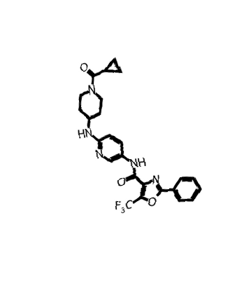 O=C(Nc1ccc(NC2CCN(C(=O)C3CC3)CC2)nc1)c1nc(-c2ccccc2)oc1C(F)(F)F